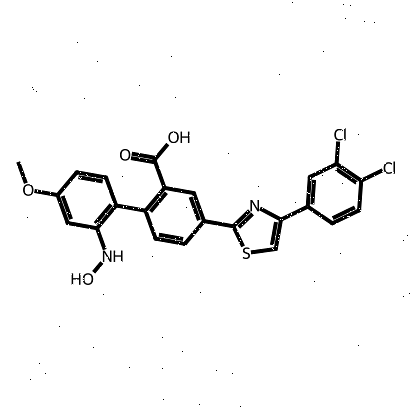 COc1ccc(-c2ccc(-c3nc(-c4ccc(Cl)c(Cl)c4)cs3)cc2C(=O)O)c(NO)c1